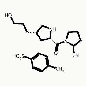 Cc1ccc(S(=O)(=O)O)cc1.N#C[C@@H]1CCCN1C(=O)[C@@H]1C[C@H](CCCO)CN1